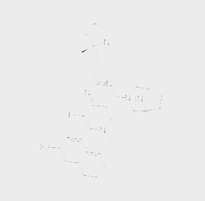 C#Cc1cccc2cc(O)cc(-c3ncc4c(N5CC6CCC(C5)N6)nc(OC[C@]5(C)CCCN5C)nc4c3F)c12